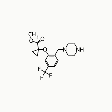 COC(=O)C1(Oc2cc(C(F)(F)F)ccc2CN2CCNCC2)CC1